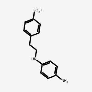 Nc1ccc(NCCc2ccc(S(=O)(=O)O)cc2)cc1